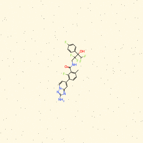 Cc1ccc(-c2ccn3nc(N)nc3c2)c(F)c1C(=O)NCC(F)(F)C(O)(c1ccc(F)cc1)C(F)F